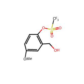 COc1ccc(OS(=O)(=O)C(F)(F)F)c(CO)c1